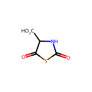 O=C1NC(C(=O)O)C(=O)S1